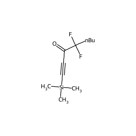 CCCCC(F)(F)C(=O)C#C[Si](C)(C)C